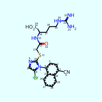 N#Cc1ccc(-n2c(Br)cnc2SCC(=O)NC(CCCNC(=N)N)C(=O)O)c2ccccc12